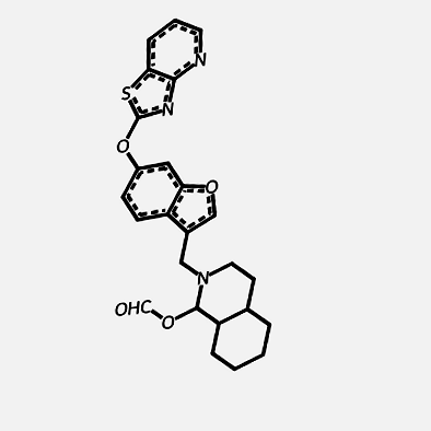 O=COC1C2CCCCC2CCN1Cc1coc2cc(Oc3nc4ncccc4s3)ccc12